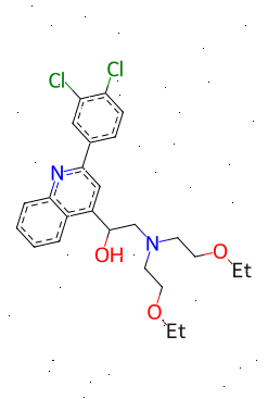 CCOCCN(CCOCC)CC(O)c1cc(-c2ccc(Cl)c(Cl)c2)nc2ccccc12